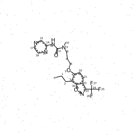 CCCc1c(OCCCN(C)C(=O)Nc2cnccn2)ccc2c(C(F)(F)F)noc12